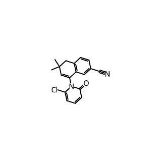 CC1(C)C=C(n2c(Cl)cccc2=O)c2cc(C#N)ccc2C1